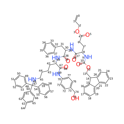 C=CCOC(=O)CCC(NC(=O)OCC1c2ccccc2-c2ccccc21)C(=O)NC(Cc1ccccc1)C(=O)NC(CCCCNC(c1ccccc1)(c1ccccc1)c1ccc(C)cc1)C(=O)Nc1ccc(CO)cc1